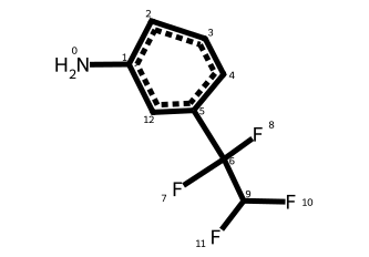 Nc1cccc(C(F)(F)C(F)F)c1